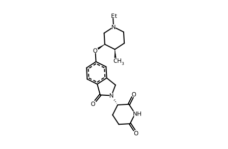 CCN1CC[C@@H](C)[C@@H](Oc2ccc3c(c2)CN([C@H]2CCC(=O)NC2=O)C3=O)C1